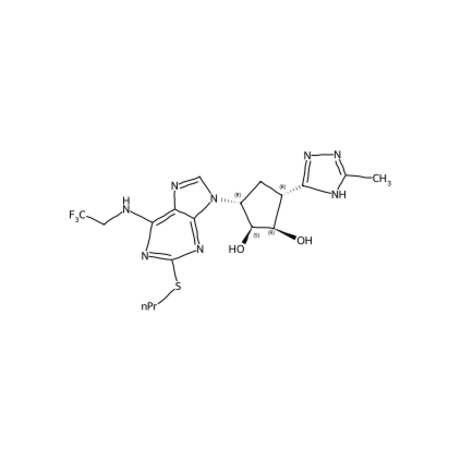 CCCSc1nc(NCC(F)(F)F)c2ncn([C@@H]3C[C@H](c4nnc(C)[nH]4)[C@@H](O)[C@H]3O)c2n1